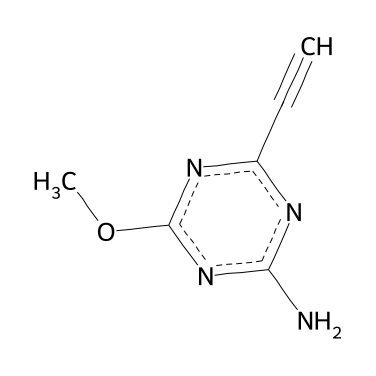 C#Cc1nc(N)nc(OC)n1